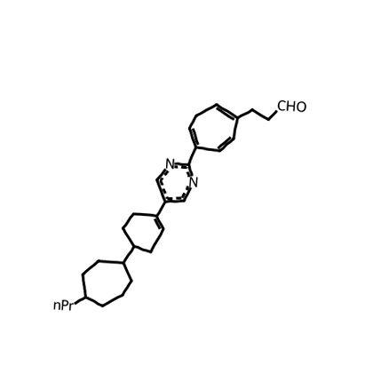 CCCC1CCCC(C2CC=C(c3cnc(C4=CCC=C(CCC=O)C=C4)nc3)CC2)CC1